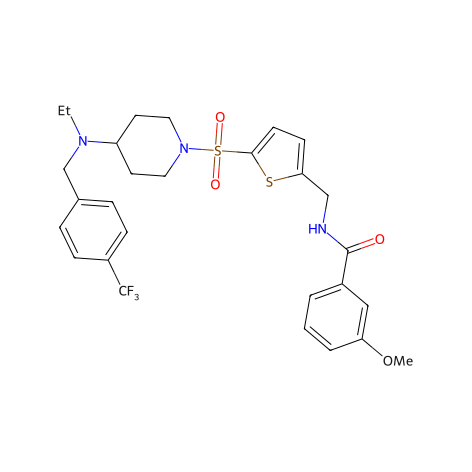 CCN(Cc1ccc(C(F)(F)F)cc1)C1CCN(S(=O)(=O)c2ccc(CNC(=O)c3cccc(OC)c3)s2)CC1